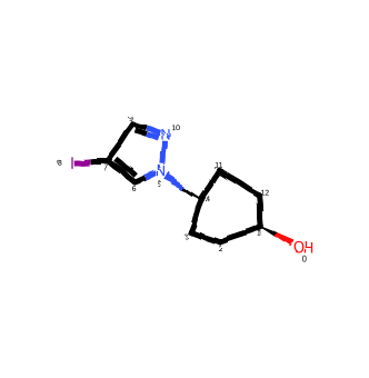 O[C@H]1CC[C@@H](n2cc(I)cn2)CC1